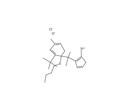 CCCCSC1(C(C)(C)C2=[C]([Ti+2])CC=C2)CC=C(C)C=C1C(C)(C)C.[Cl-].[Cl-]